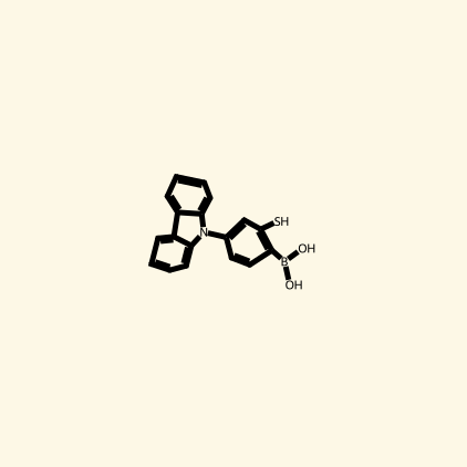 OB(O)c1ccc(-n2c3ccccc3c3ccccc32)cc1S